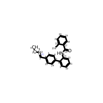 CO/N=C/c1ccc(-c2ccccc2NC(=O)c2ccccc2I)cc1